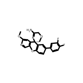 COc1cc2c(cn1)Oc1ccc(-c3ccc(F)c(F)c3)cc1[C@@]21COCC(N)=N1